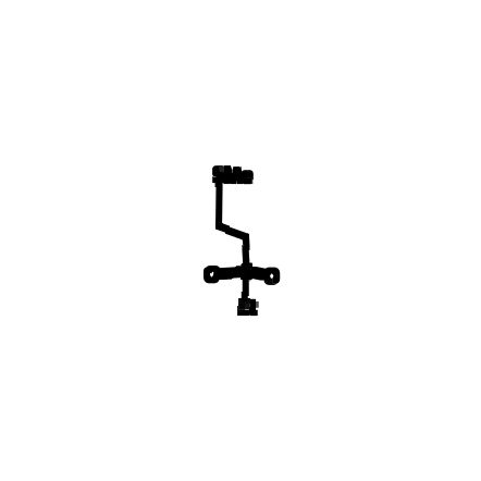 CCS(=O)(=O)CCSC